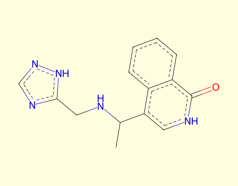 CC(NCc1ncn[nH]1)c1c[nH]c(=O)c2ccccc12